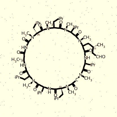 CC(C)CC1C(=O)N[C@H](C)C(=O)NC(=O)N(C)[C@H](CC(C)C)C(=O)N(C)C(CC(C)C)C(=O)N(C)C(C(C)C)C(=O)N(C)C(C[C@H](C)CC=O)C(=O)NC(C(C)C)C(=O)N(C)CC(=O)N(C)[C@@H](CC(C)C)C(=O)NC(C(C)C)C(=O)N1C